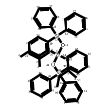 CCC(C)[O][Zr]([O]C(C)CC)([O][Si](c1ccccc1)(c1ccccc1)c1ccccc1)[O][Si](c1ccccc1)(c1ccccc1)c1ccccc1